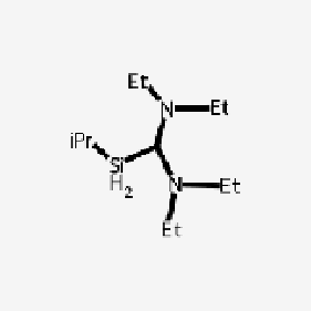 CCN(CC)C([SiH2]C(C)C)N(CC)CC